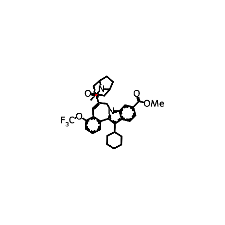 COC(=O)c1ccc2c(C3CCCCC3)c3n(c2c1)CC(C(=O)N1C2CCC1CN(C)C2)=Cc1c(OC(F)(F)F)cccc1-3